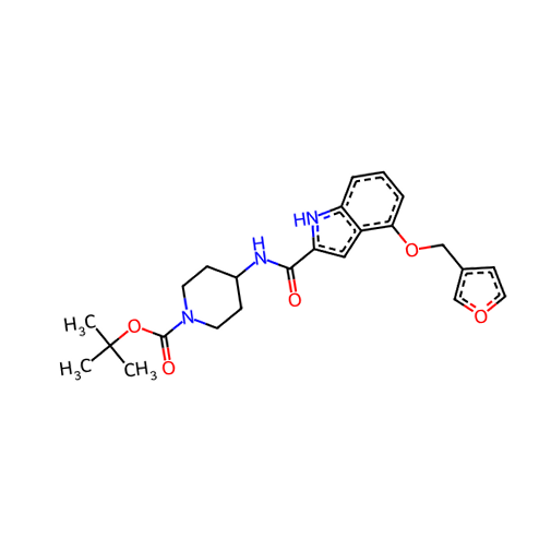 CC(C)(C)OC(=O)N1CCC(NC(=O)c2cc3c(OCc4ccoc4)cccc3[nH]2)CC1